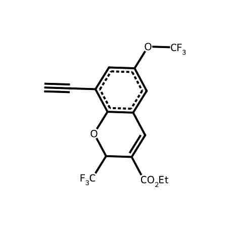 C#Cc1cc(OC(F)(F)F)cc2c1OC(C(F)(F)F)C(C(=O)OCC)=C2